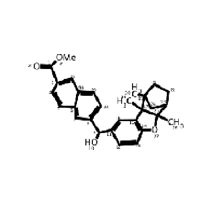 COC(=O)c1ccc2cc(C(O)c3ccc4c(c3)C3(C)C5(C)CCC(C5)C3(C)O4)ccc2c1